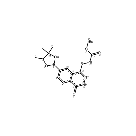 CC1OB(c2ccc3c(=O)[nH]nc(CNC(=O)OC(C)(C)C)c3c2)OC1(C)C